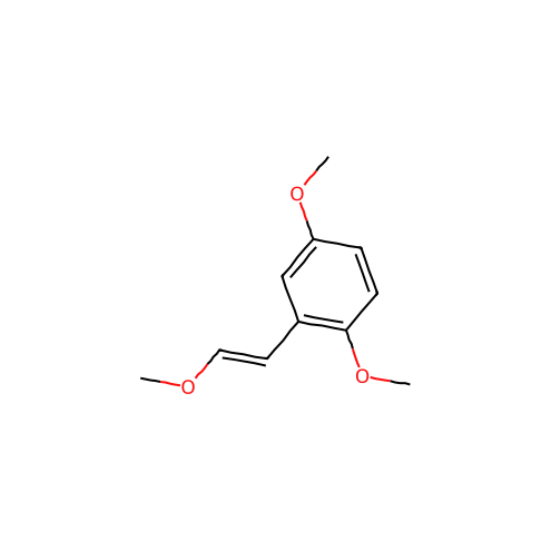 COC=Cc1cc(OC)ccc1OC